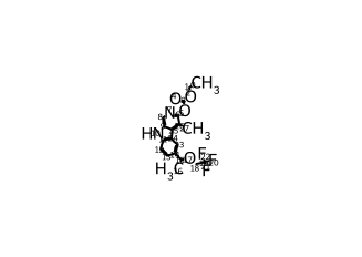 CCOC(=O)Oc1ncc2[nH]c3ccc(C(C)OCC(F)(F)F)cc3c2c1C